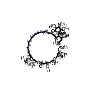 CC1/C=C/C=C/C=C/C=C/C=C/C=C/C=C/C(OC2OC(C)C(O)C(N)C2O)CC2OC(O)(CC(O)CC(O)C(O)CCC(O)CC(O)CC(=O)OC(C)C(C)C1O)CC(O)C2CO